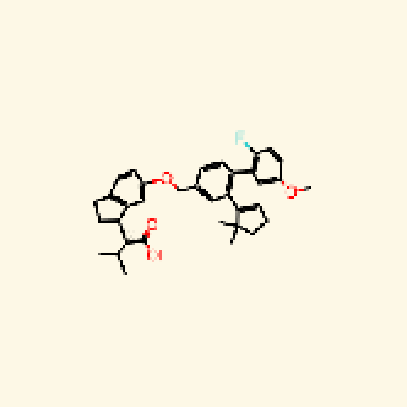 COc1ccc(F)c(-c2ccc(COc3ccc4c(c3)C([C@@H](C(=O)O)C(C)C)CC4)cc2C2=CCCC2(C)C)c1